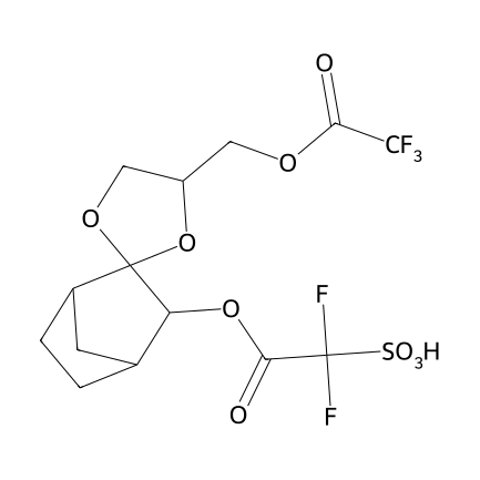 O=C(OCC1COC2(O1)C1CCC(C1)C2OC(=O)C(F)(F)S(=O)(=O)O)C(F)(F)F